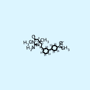 CN1C(=O)CC(C)(CCc2cccc(-c3ccc([S+](C)[O-])cc3)c2)N=C1N